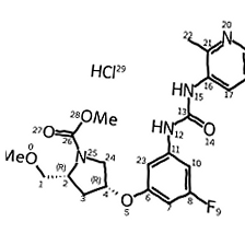 COC[C@H]1C[C@@H](Oc2cc(F)cc(NC(=O)Nc3cccnc3C)c2)CN1C(=O)OC.Cl